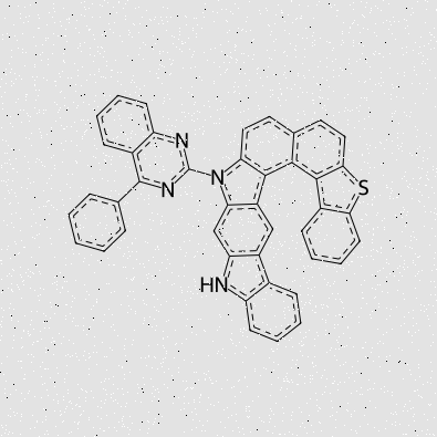 c1ccc(-c2nc(-n3c4cc5[nH]c6ccccc6c5cc4c4c5c(ccc6sc7ccccc7c65)ccc43)nc3ccccc23)cc1